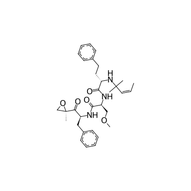 C/C=C\C(C)(C)N[C@@H](CCc1ccccc1)C(=O)N[C@@H](COC)C(=O)N[C@@H](Cc1ccccc1)C(=O)[C@@]1(C)CO1